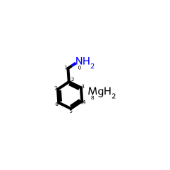 NCc1c[c]ccc1.[MgH2]